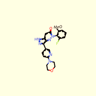 COc1cccc(F)c1-n1nc2c(-c3ccc(N4CCOCC4)nc3)n[nH]c2cc1=O